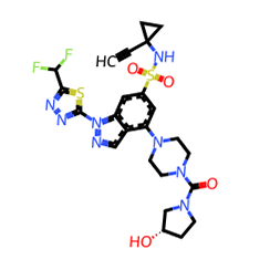 C#CC1(NS(=O)(=O)c2cc(N3CCN(C(=O)N4CC[C@H](O)C4)CC3)c3cnn(-c4nnc(C(F)F)s4)c3c2)CC1